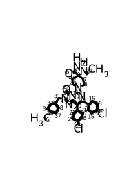 CCNC1(C(N)=O)CCN(c2nc(-c3ccc(Cl)cc3)c(-c3ccc(Cl)cc3)c3nn(Cc4ccc(C)cc4)c(=O)n23)CC1